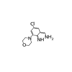 N=C1C(N2CCOCC2)=CC(Cl)=C/C1=C/N